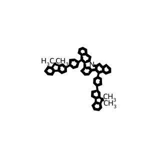 CC1(C)c2ccccc2-c2ccc(-c3ccc(-c4c5ccccc5cc5c4c4cccc6c7c(-c8ccc(-c9ccc%10c(c9)C(C)(C)c9ccccc9-%10)cc8)c8ccccc8cc7n5c46)cc3)cc21